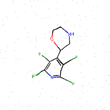 Fc1nc(F)c(F)c(C2CNCCO2)c1F